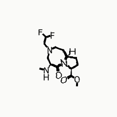 CN[C@H]1CN(CC(F)F)CC[C@H]2CC[C@@H](C(=O)OC)N2C1=O